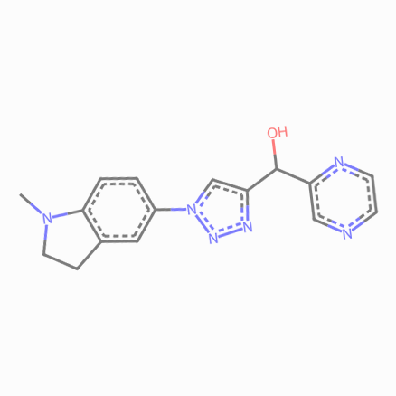 CN1CCc2cc(-n3cc(C(O)c4cnccn4)nn3)ccc21